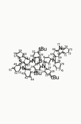 Cc1ccc(N(c2ccc3c(c2)N(c2ccc(C(C)(C)C)cc2)c2cc(C(C)(C)C)cc4c2B3c2cc(C(C)(C)C)ccc2N4c2cc(N(c3ccc(C)cc3)c3ccc(C)cc3)c3sc4ccccc4c3c2)c2ccc3c(c2)c2ccccc2n3C)cc1